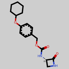 O=C(N[C@H]1CNC1=O)OCc1ccc(OC2CCCCC2)cc1